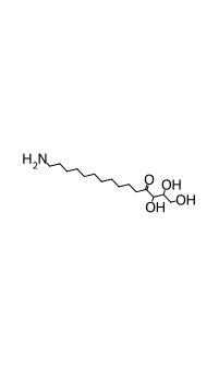 NCCCCCCCCCCCC(=O)C(O)C(O)CO